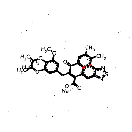 COc1cc(C/C(C(=O)c2ccc(C)c(C)c2)=C(\C(=O)[O-])c2ccc3nsnc3c2)cc(OC(C)C)c1OC(C)C.[Na+]